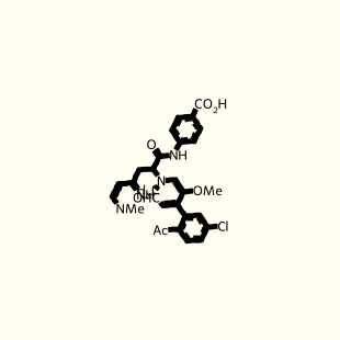 CN/C=C\C(=N)CC(C(=O)Nc1ccc(C(=O)O)cc1)N(C)/C=C(OC)\C(=C/C=O)c1cc(Cl)ccc1C(C)=O